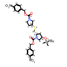 CC(C)(C)[Si](C)(C)O[C@@H]1C[C@@H](CS[C@H]2CCN(C(=O)OCc3ccc([N+](=O)[O-])cc3)C2)N(C(=O)OCc2ccc([N+](=O)[O-])cc2)C1